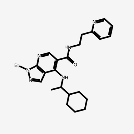 CCn1ncc2c(NC(C)C3CCCCC3)c(C(=O)NCCc3ccccn3)cnc21